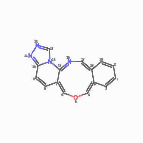 c1ccc2cocc3ccc4nncn4c3ncc2c1